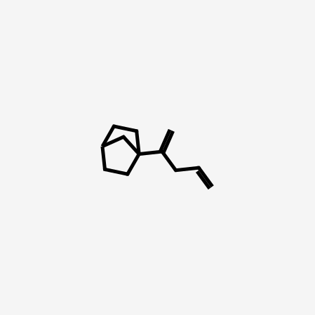 C=CCC(=C)C12CCC(CC1)C2